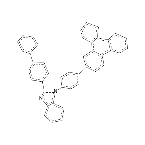 c1ccc(-c2ccc(-c3nc4ccccc4n3-c3ccc(-c4ccc5c6ccccc6c6ccccc6c5c4)cc3)cc2)cc1